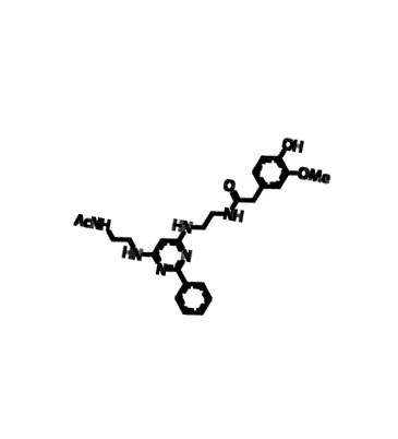 COc1cc(CC(=O)NCCNc2cc(NCCNC(C)=O)nc(-c3ccccc3)n2)ccc1O